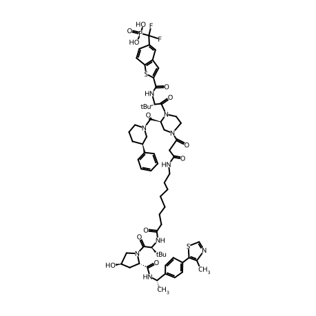 Cc1ncsc1-c1ccc([C@H](C)NC(=O)[C@@H]2C[C@@H](O)CN2C(=O)[C@@H](NC(=O)CCCCCCCNC(=O)CC(=O)N2CCN(C(=O)[C@@H](NC(=O)c3cc4cc(C(F)(F)P(=O)(O)O)ccc4s3)C(C)(C)C)[C@H](C(=O)N3CCC[C@H](c4ccccc4)C3)C2)C(C)(C)C)cc1